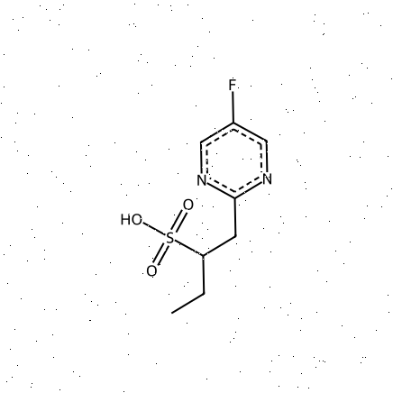 CCC(Cc1ncc(F)cn1)S(=O)(=O)O